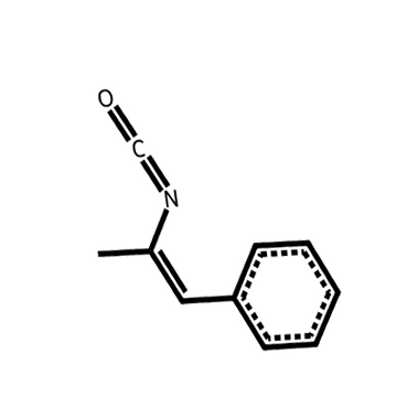 CC(=Cc1ccccc1)N=C=O